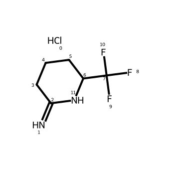 Cl.N=C1CCCC(C(F)(F)F)N1